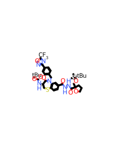 CC(C)(C)OC(=O)N[C@H]1CSc2ccc(C(=O)NNC(=O)C3(CO[Si](C)(C)C(C)(C)C)CCCO3)cc2N(Cc2ccc(-c3noc(C(F)(F)F)n3)cc2)C1=O